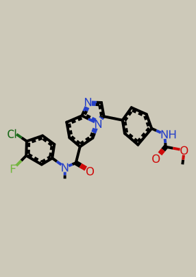 COC(=O)Nc1ccc(-c2cnc3ccc(C(=O)N(C)c4ccc(Cl)c(F)c4)cn23)cc1